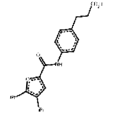 CC(C)c1cc(C(=O)Nc2ccc(CCC(=O)O)cc2)oc1C(C)C